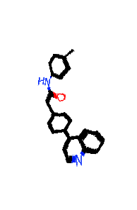 C[C@H]1CC[C@H](NC(=O)CC2CCC(c3ccnc4ccccc34)CC2)CC1